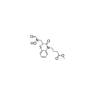 COC(=O)CCCN1C(=O)C(CN(O)C=O)Sc2ccccc21